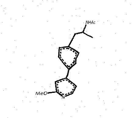 COc1cc(-c2ccc(CC(C)NC(C)=O)cc2)ccn1